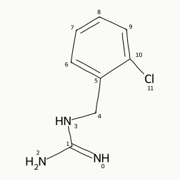 N=C(N)NCc1ccccc1Cl